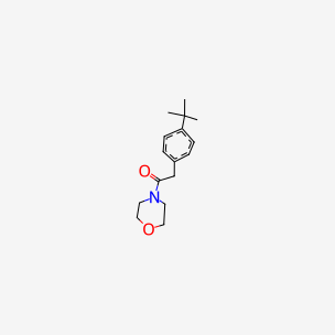 CC(C)(C)c1ccc(CC(=O)N2CCOCC2)cc1